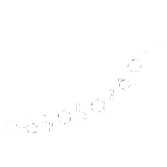 CCCCOc1ccc(-c2csc(/N=N/c3ccc(NNc4ccc(NNc5ccc(N6CCCC6)s5)cc4C)cc3C)n2)cc1